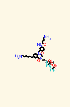 NCCCCCCc1ccc2c(c1)C(=O)N(CCC(=O)O)CC(=O)N2Cc1cccc(NC(=O)CCCN)c1.O=C(O)C(F)(F)F.O=C(O)C(F)(F)F